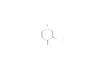 CCC1CCN(C(C)C)CC1C